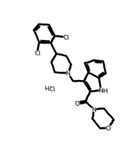 Cl.O=C(c1[nH]c2ccccc2c1CN1CCC(c2c(Cl)cccc2Cl)CC1)N1CCOCC1